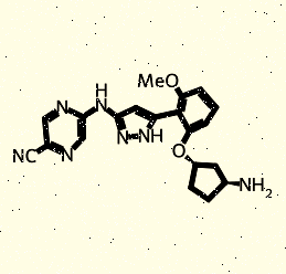 COc1cccc(O[C@@H]2CC[C@H](N)C2)c1-c1cc(Nc2cnc(C#N)cn2)n[nH]1